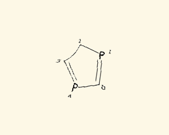 [C]1=PCC=P1